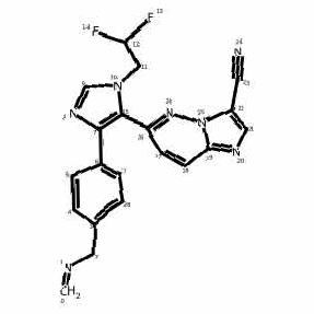 C=NCc1ccc(-c2ncn(CC(F)F)c2-c2ccc3ncc(C#N)n3n2)cc1